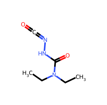 CCN(CC)C(=O)NN=C=O